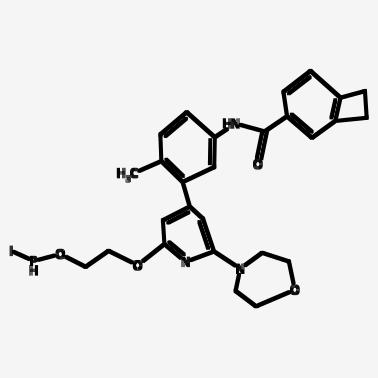 Cc1ccc(NC(=O)c2ccc3c(c2)CC3)cc1-c1cc(OCCOPI)nc(N2CCOCC2)c1